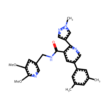 COc1cc(CNC(=O)c2cc(-c3cc(C)cc(C)c3)cnc2-c2cnn(C)c2)cnc1OC